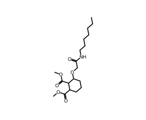 CCCCCCCNC(=O)COC1CCCC(C(=O)OC)C1C(=O)OC